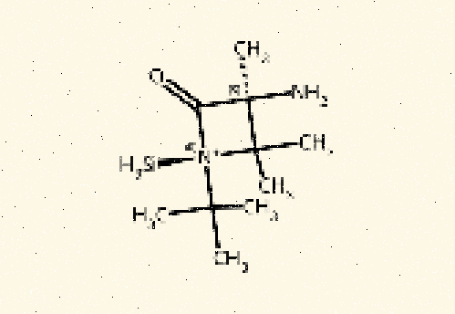 CC(C)(C)[N@+]1([SiH3])C(=O)[C@@](C)(N)C1(C)C